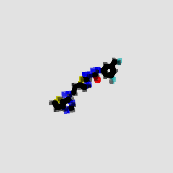 O=C(Nc1cc(F)cc(CF)c1)Nc1ncc(CCNc2ncnc3ccsc23)s1